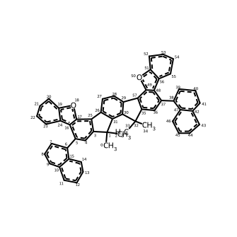 CC1(C)c2cc(-c3cccc4ccccc34)c3c(oc4ccccc43)c2-c2ccc3c(c21)C(C)(C)c1cc(-c2cccc4ccccc24)c2c(oc4ccccc42)c1-3